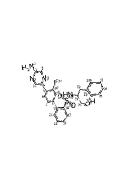 Nc1cnc(-c2ccc(-c3ccccc3S(=O)(=O)NC(CO)Cc3ccccc3)cc2F)cn1